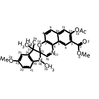 COC(=O)c1cc2c3c(ccc2cc1OC(C)=O)OC1(C=N3)N(C)c2ccc(OC)cc2C1(C)C